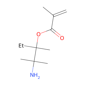 C=C(C)C(=O)OC(C)(CC)C(C)(C)N